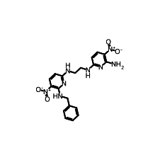 Nc1nc(NCCNc2ccc([N+](=O)[O-])c(NCc3ccccc3)n2)ccc1[N+](=O)[O-]